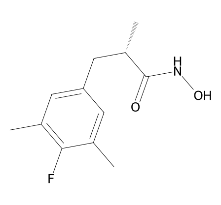 Cc1cc(C[C@H](C)C(=O)NO)cc(C)c1F